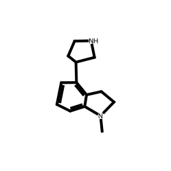 CN1CCc2c(C3CCNC3)cccc21